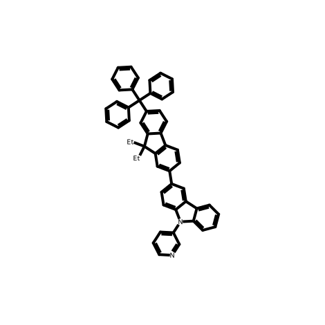 CCC1(CC)c2cc(-c3ccc4c(c3)c3ccccc3n4-c3cccnc3)ccc2-c2ccc(C(c3ccccc3)(c3ccccc3)c3ccccc3)cc21